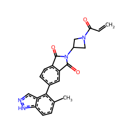 C=CC(=O)N1CC(N2C(=O)c3ccc(-c4c(C)ccc5[nH]ncc45)cc3C2=O)C1